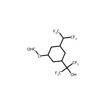 O=COC1CC(C(C(F)(F)F)C(F)(F)F)CC(C(O)(C(F)(F)F)C(F)(F)F)C1